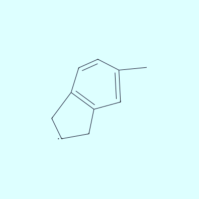 Cc1ccc2c(c1)C[CH]C2